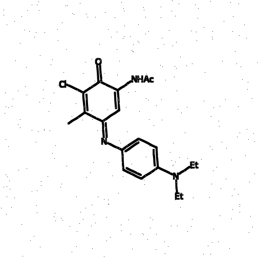 CCN(CC)c1ccc(N=C2C=C(NC(C)=O)C(=O)C(Cl)=C2C)cc1